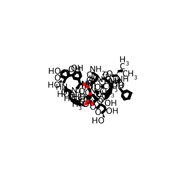 CC(C)C[C@H](NC(=O)OCc1ccccc1)C(=O)N[C@H]1C(=O)N[C@@H](CC(N)=O)C(=O)N[C@H]2C(=O)N[C@H]3C(=O)N[C@H](C(=O)N[C@H](C(=O)O)c4cc(O)cc(O)c4-c4cc3ccc4O)[C@H](O)c3ccc(c(Cl)c3)Oc3cc2cc(c3OC2O[C@H](CO)[C@@H](O)[C@H](O)C2O[C@H]2C[C@](C)(NC(=O)OC(C)(C)C)[C@H](O)[C@H](C)O2)Oc2ccc(cc2Cl)[C@H]1O